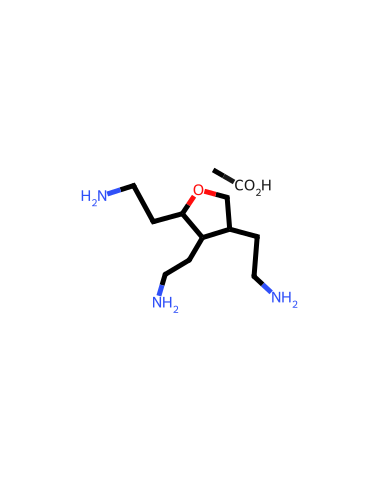 CC(=O)O.NCCC1COC(CCN)C1CCN